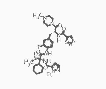 CCn1nccc1C(=O)N[C@@]([SiH2]C)(C(=O)Nc1ccc(C[C@@H](NC(=O)c2cnns2)C(=O)N2CCN(C)CC2)cc1F)C1CCCCC1